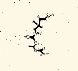 CC(OC(=O)NCC(C)(C)CCO)OC(=O)C(C)C